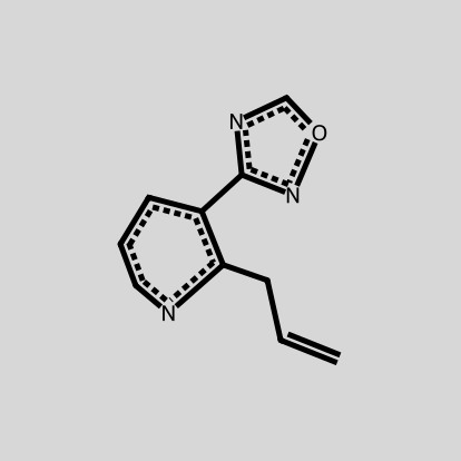 C=CCc1ncccc1-c1ncon1